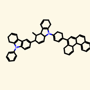 CC1C(c2ccc3c(c2)c2c(n3-c3ccccc3)CCC=C2)C=CC2C1C1=C(CCC=C1)N2C1=CC=C(C2=C3CCC=CC3C3C(=C2)C=Cc2ccccc23)CC1